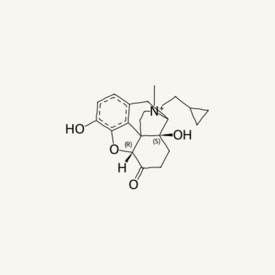 C[N+]1(CC2CC2)CCC23c4c5ccc(O)c4O[C@H]2C(=O)CC[C@@]3(O)C1C5